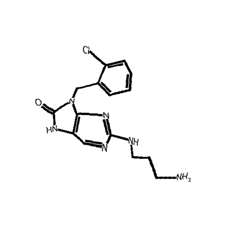 NCCCNc1ncc2[nH]c(=O)n(Cc3ccccc3Cl)c2n1